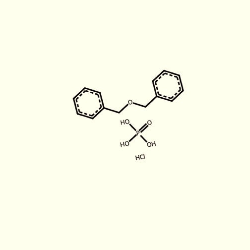 Cl.O=P(O)(O)O.c1ccc(COCc2ccccc2)cc1